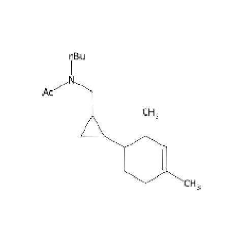 CCCCN(CC1CC1C1CCC(C)=CC1C)C(C)=O